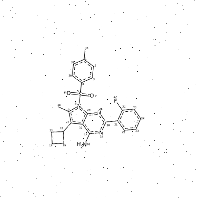 Cc1ccc(S(=O)(=O)n2c(C)c(C3CCC3)c3c(N)nc(-c4ccccc4F)nc32)cc1